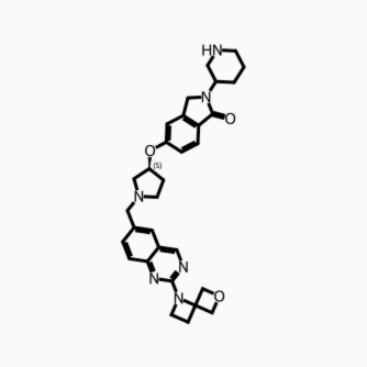 O=C1c2ccc(O[C@H]3CCN(Cc4ccc5nc(N6CCC67COC7)ncc5c4)C3)cc2CN1C1CCCNC1